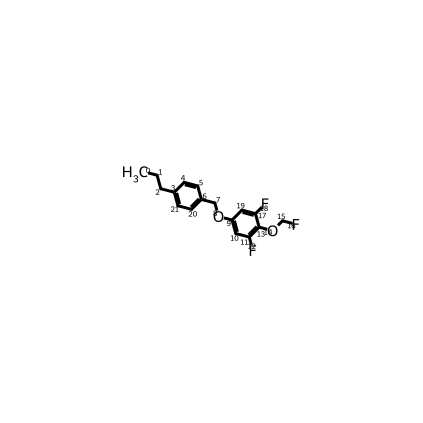 CCCc1ccc(COc2cc(F)c(OCF)c(F)c2)cc1